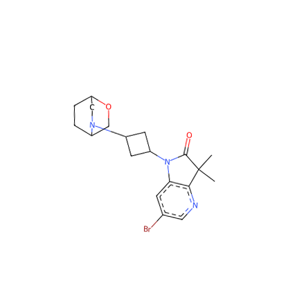 CC1(C)C(=O)N(C2CC(N3CC4CCC3CO4)C2)c2cc(Br)cnc21